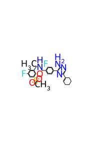 CC(NC(=O)c1ccc(-c2nc(C3=CCCCC3)cnc2N)cc1F)c1cc(F)cc(S(C)(=O)=O)c1